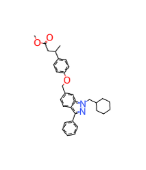 COC(=O)CC(C)c1ccc(OCc2ccc3c(-c4ccccc4)nn(CC4CCCCC4)c3c2)cc1